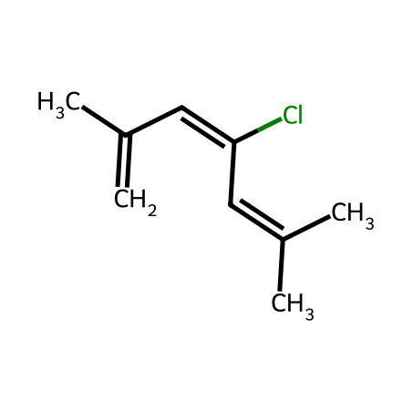 C=C(C)/C=C(/Cl)C=C(C)C